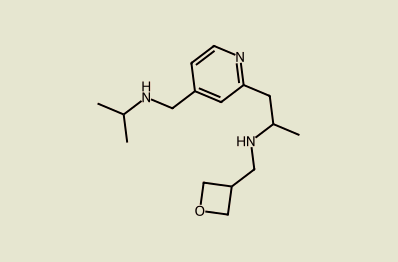 CC(C)NCc1ccnc(CC(C)NCC2COC2)c1